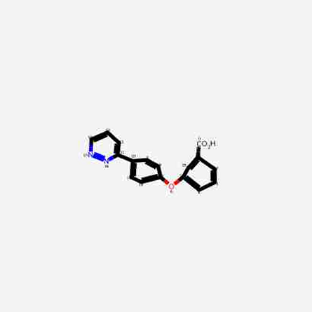 O=C(O)c1cccc(Oc2ccc(-c3cccnn3)cc2)c1